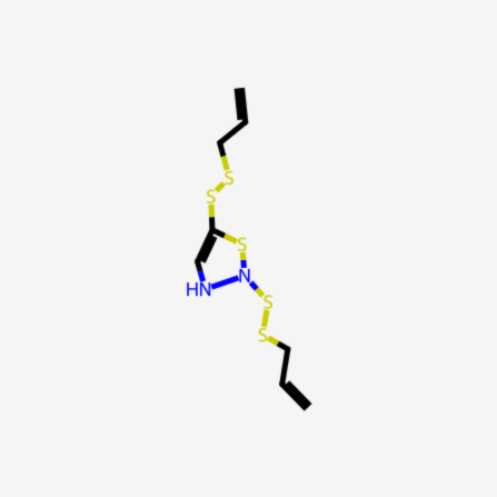 C=CCSSC1=CNN(SSCC=C)S1